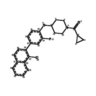 O=C(C1CC1)N1CCC(Oc2ccc(-c3ccc4cccnc4c3Cl)cc2F)CC1